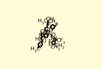 C[C@@H]1c2c(C(F)(F)F)nn(CC(=O)N[C@@H](Cc3cc(F)cc(F)c3)c3nc(C#CC(C)(C)O)ccc3-c3cccc4c(NC(=O)N5CCN(C)CC5)nn(C)c34)c2C(F)(F)[C@@H]1C